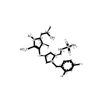 CC(=O)N1C(C(=O)O)=C(S[C@H]2C[C@@H](CNS(N)(=O)=O)N(Cc3ccc(F)cc3F)C2)[C@H](C)[C@@H]1C[C@@H](C)O